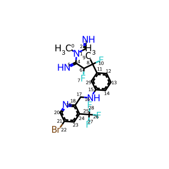 CN(C=N)C(=N)C(F)C(C)(F)c1cccc(NCc2ncc(Br)cc2C(F)(F)F)c1